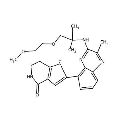 COCCOCC(C)(C)Nc1nc2c(-c3cc4c([nH]3)CCNC4=O)cccc2nc1C